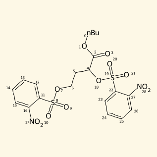 CCCCOC(=O)C(CCOS(=O)(=O)c1ccccc1[N+](=O)[O-])OS(=O)(=O)c1ccccc1[N+](=O)[O-]